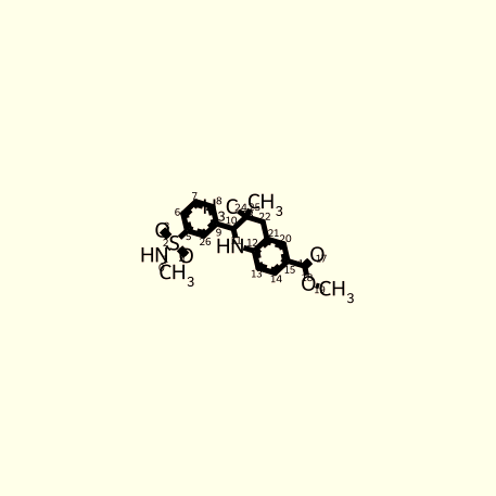 CNS(=O)(=O)c1cccc(C2Nc3ccc(C(=O)OC)cc3CC2(C)C)c1